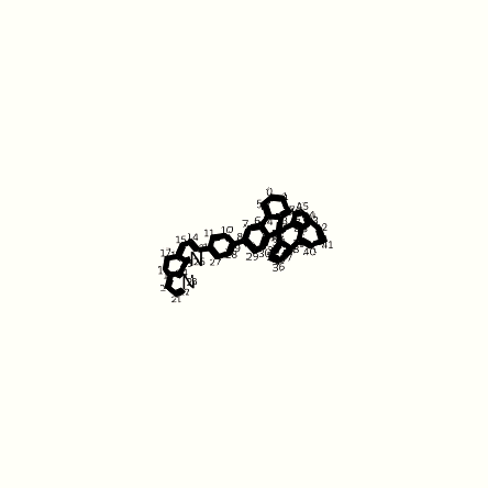 c1ccc2c(c1)-c1cc(-c3ccc(-c4ccc5ccc6cccnc6c5n4)cc3)ccc1C21c2ccccc2-c2cccc3cccc1c23